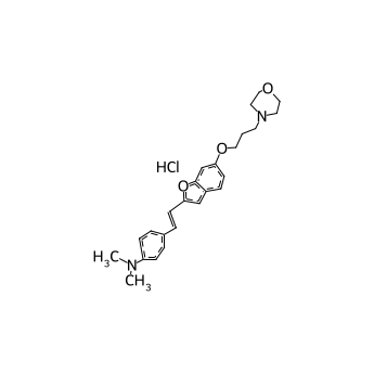 CN(C)c1ccc(/C=C/c2cc3ccc(OCCCN4CCOCC4)cc3o2)cc1.Cl